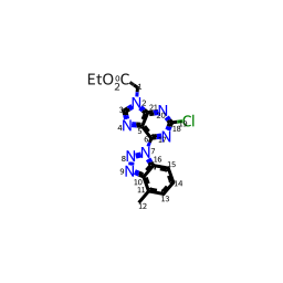 CCOC(=O)Cn1cnc2c(-n3nnc4c(C)cccc43)nc(Cl)nc21